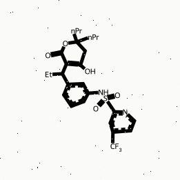 CCCC1(CCC)CC(O)=C(C(CC)c2cccc(NS(=O)(=O)c3cc(C(F)(F)F)ccn3)c2)C(=O)O1